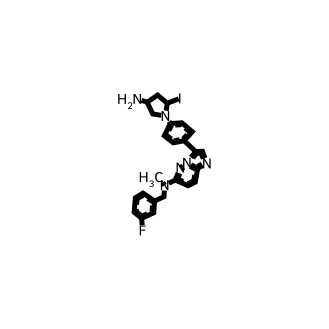 CN(Cc1cccc(F)c1)c1ccc2ncc(-c3ccc(N4CC(N)CC4I)cc3)n2n1